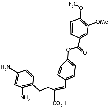 COc1cc(C(=O)Oc2ccc(/C=C(\CCc3ccc(N)cc3N)C(=O)O)cc2)ccc1OC(F)(F)F